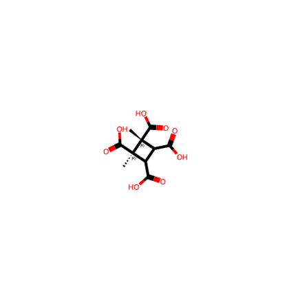 C[C@@]1(C(=O)O)C(C(=O)O)C(C(=O)O)[C@@]1(C)C(=O)O